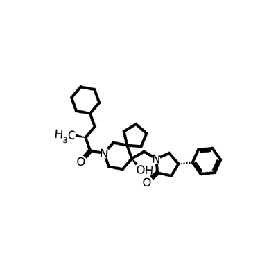 C[C@@H](CC1CCCCC1)C(=O)N1CC[C@@](O)(CN2C[C@H](c3ccccc3)CC2=O)C2(CCCC2)C1